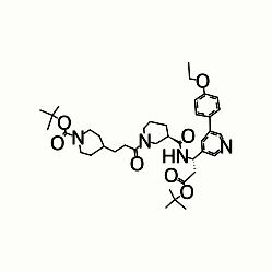 CCOc1ccc(-c2cncc([C@H](CC(=O)OC(C)(C)C)NC(=O)[C@@H]3CCCN(C(=O)CCC4CCN(C(=O)OC(C)(C)C)CC4)C3)c2)cc1